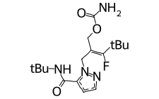 CC(C)(C)NC(=O)c1ccnn1CC(COC(N)=O)=C(F)C(C)(C)C